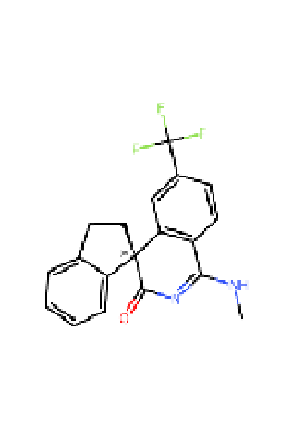 CNC1=NC(=O)[C@@]2(CCc3ccccc32)c2cc(C(F)(F)F)ccc21